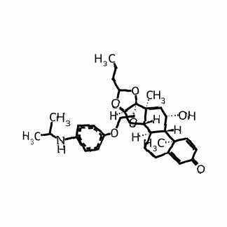 CCCC1O[C@@H]2C[C@H]3[C@@H]4CCC5=CC(=O)C=C[C@]5(C)[C@H]4[C@@H](O)C[C@]3(C)[C@]2(C(=O)COc2ccc(NC(C)C)cc2)O1